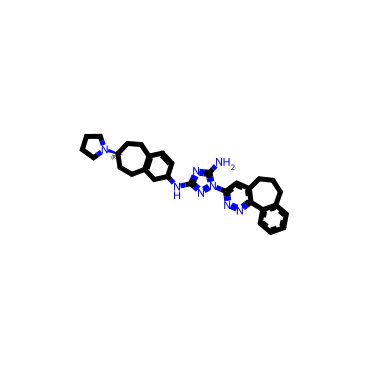 Nc1nc(NC2C=CC3=C(CC[C@@H](N4CCCC4)CC3)C2)nn1-c1cc2c(nn1)-c1ccccc1CCC2